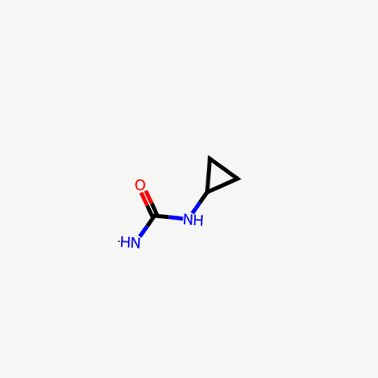 [NH]C(=O)NC1CC1